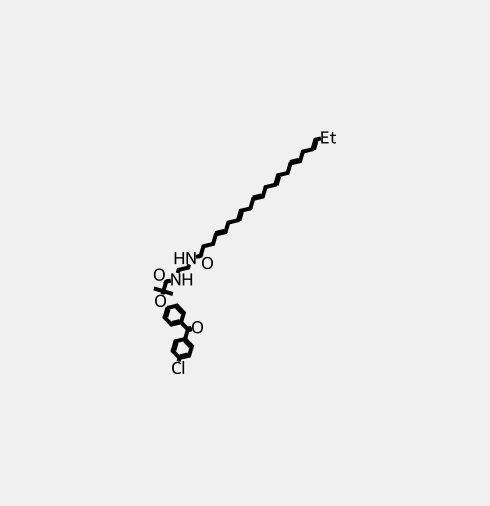 CCC=CCC=CCC=CCC=CCC=CCC=CCCC(=O)NCCNC(=O)C(C)(C)Oc1ccc(C(=O)c2ccc(Cl)cc2)cc1